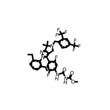 CCc1cccc(CC)c1-n1nc2c(c1-c1cc(F)c(NC(=O)NC(=O)OC)cc1F)CN(Cc1ccc(C(F)(F)F)cc1C(F)(F)F)C2(C)C